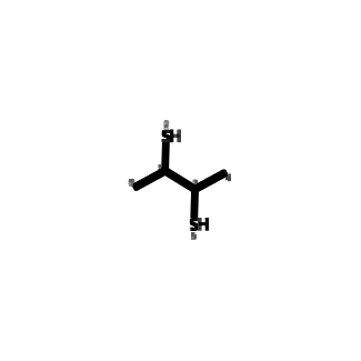 CC(S)C(C)S